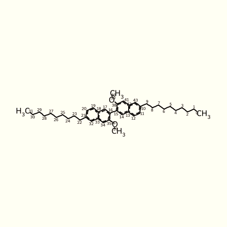 CCCCCCCCCCc1ccc2cc(-c3cc4ccc(CCCCCCCCCC)cc4cc3OC)c(OC)cc2c1